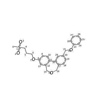 CS(=O)(=O)CCCOc1ccc2c(c1)COCc1ccc(COc3ccccc3)cc1-2